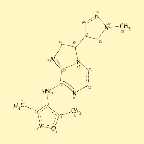 Cc1noc(C)c1NC1=NC=CN2C1=NCC2C1C=NN(C)C1